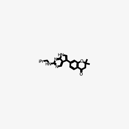 CC(C)CNc1ncc2c(-c3ccc4c(c3)OC(C)(C)CC4=O)c[nH]c2n1